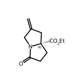 C=C1CN2C(=O)CC[C@]2(C(=O)OCC)C1